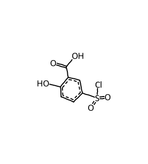 O=C(O)c1cc(S(=O)(=O)Cl)ccc1O